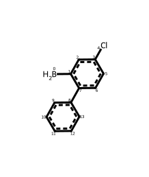 Bc1cc(Cl)ccc1-c1ccccc1